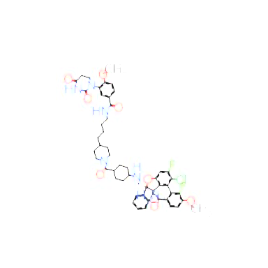 COc1ccc(C(=O)NCCCCC2CCN(C(=O)C3CCC(NC[C@]4(c5ccccc5)Oc5cc(F)c(Cl)c(-c6c(C(N)=O)ccc(OC)c6F)c5[C@@H]4C)CC3)CC2)cc1N1CCC(=O)NC1=O